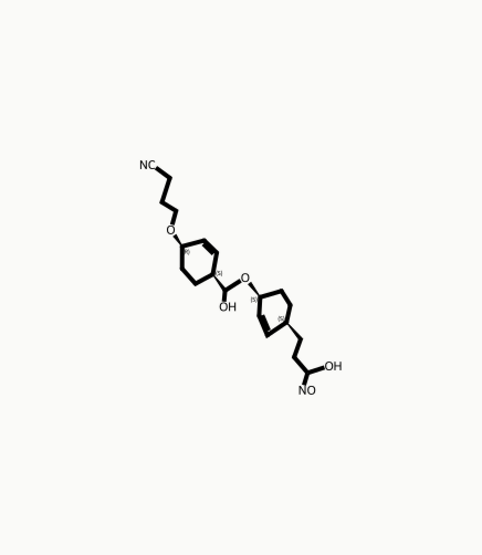 N#CCCCO[C@H]1C=C[C@@H](C(O)O[C@@H]2C=C[C@H](CCC(O)N=O)CC2)CC1